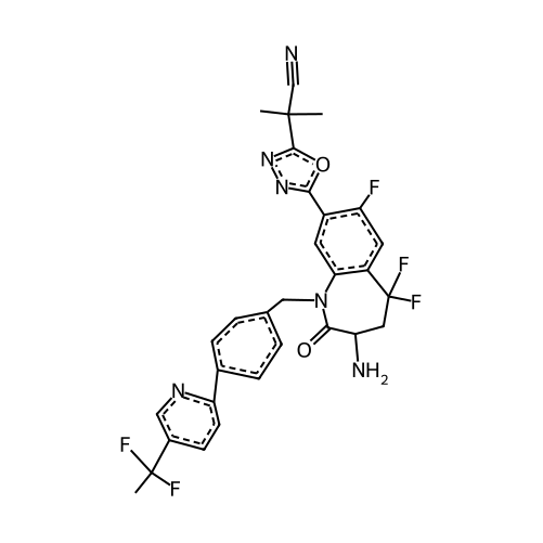 CC(F)(F)c1ccc(-c2ccc(CN3C(=O)C(N)CC(F)(F)c4cc(F)c(-c5nnc(C(C)(C)C#N)o5)cc43)cc2)nc1